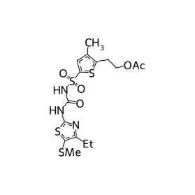 CCc1nc(NC(=O)NS(=O)(=O)c2cc(C)c(CCOC(C)=O)s2)sc1SC